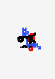 CCO[Si](CCC(N)c1ccccc1)(OCC)OCC.[CH2]CCNC(N)=O